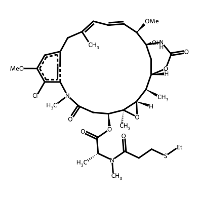 CCSCCC(=O)N(C)[C@H](C)C(=O)O[C@H]1CC(=O)N(C)c2cc(cc(OC)c2Cl)C/C(C)=C/C=C/[C@@H](OC)[C@@]2(O)C[C@H](OC(=O)N2)[C@@H](C)[C@@H]2O[C@@]12C